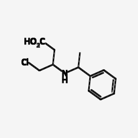 CC(NC(CCl)CC(=O)O)c1ccccc1